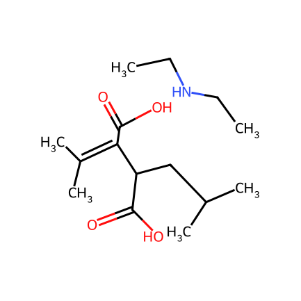 CC(C)=C(C(=O)O)C(CC(C)C)C(=O)O.CCNCC